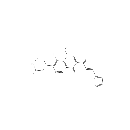 CCn1cc(C(=O)C=Cc2ccco2)c(=O)c2cc(F)c(N3CCNC(C)C3)c(F)c21